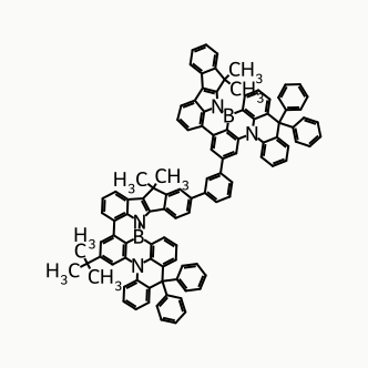 CC(C)(C)c1cc2c3c(c1)N1c4ccccc4C(c4ccccc4)(c4ccccc4)c4cccc(c41)B3n1c3c(c4cccc-2c41)C(C)(C)c1cc(-c2cccc(-c4cc5c6c(c4)N4c7ccccc7C(c7ccccc7)(c7ccccc7)c7cccc(c74)B6n4c6c(c7cccc-5c74)-c4ccccc4C6(C)C)c2)ccc1-3